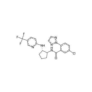 O=C(NC1CCC[C@@H]1Nc1ccc(C(F)(F)F)cn1)c1cc(Cl)ccc1-n1nccn1